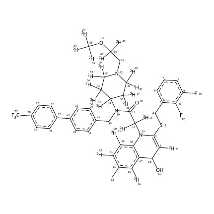 [2H]C1=C(SCc2cccc(F)c2F)N(C([2H])([2H])C(=O)N(Cc2ccc(-c3ccc(C(F)(F)F)cc3)cc2)C2([2H])C([2H])([2H])C([2H])([2H])N(CC([2H])([2H])OC([2H])([2H])[2H])C([2H])([2H])C2([2H])[2H])c2c([2H])c([2H])c(C)c([2H])c2C1O